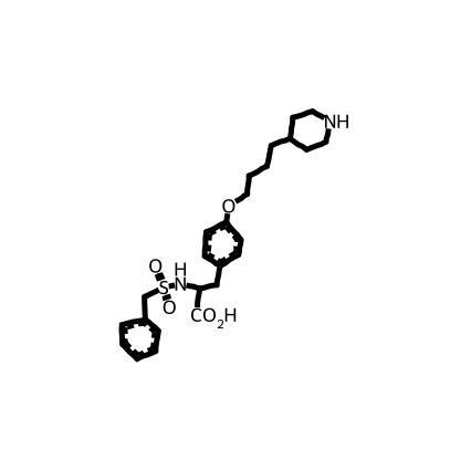 O=C(O)C(Cc1ccc(OCCCCC2CCNCC2)cc1)NS(=O)(=O)Cc1ccccc1